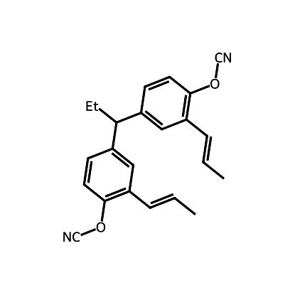 CC=Cc1cc(C(CC)c2ccc(OC#N)c(C=CC)c2)ccc1OC#N